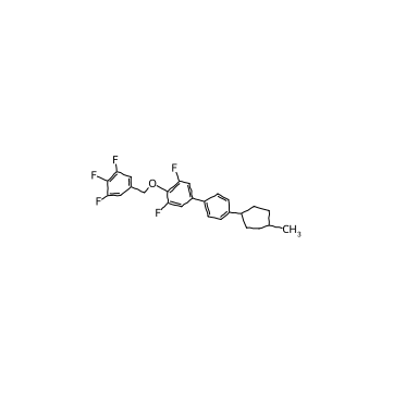 CC1CCC(c2ccc(-c3cc(F)c(OCc4cc(F)c(F)c(F)c4)c(F)c3)cc2)CC1